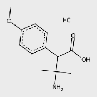 COc1ccc(C(C(=O)O)C(C)(C)N)cc1.Cl